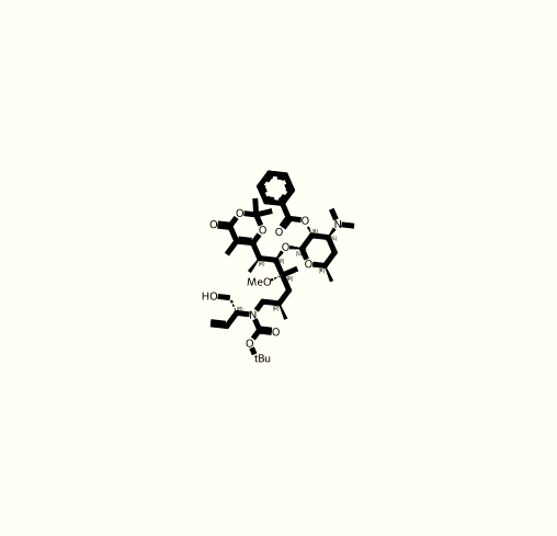 C=C[C@H](CO)N(C[C@H](C)C[C@@](C)(OC)[C@H](O[C@@H]1O[C@H](C)C[C@H](N(C)C)[C@H]1OC(=O)c1ccccc1)[C@@H](C)C1=C(C)C(=O)OC(C)(C)O1)C(=O)OC(C)(C)C